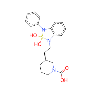 O=C(O)N1CCC[C@@H](CCN2c3ccccc3N(c3ccccc3)S2(O)O)C1